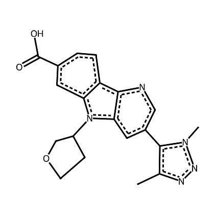 Cc1nnn(C)c1-c1cnc2c3ccc(C(=O)O)cc3n(C3CCOC3)c2c1